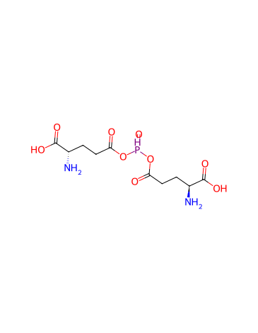 N[C@@H](CCC(=O)O[PH](=O)OC(=O)CC[C@H](N)C(=O)O)C(=O)O